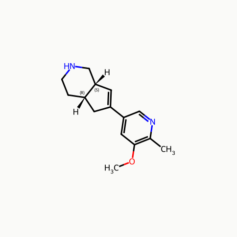 COc1cc(C2=C[C@H]3CNCC[C@H]3C2)cnc1C